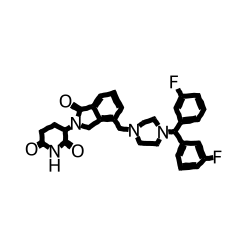 O=C1CCC(N2Cc3c(CN4CCN(C(c5cccc(F)c5)c5cccc(F)c5)CC4)cccc3C2=O)C(=O)N1